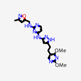 COc1ncc(CCc2cc(Nc3ccnc(NCc4cc(C)no4)n3)n[nH]2)c(OC)n1